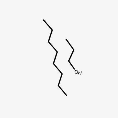 CCCCCCCC.CCCO